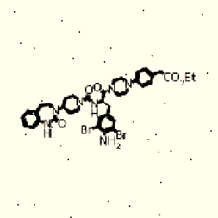 CCOC(=O)Cc1ccc(N2CCN(C(=O)[C@@H](Cc3cc(Br)c(N)c(Br)c3)NC(=O)N3CCC(N4CCc5ccccc5NC4=O)CC3)CC2)cc1